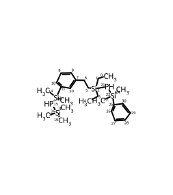 CC[Si](CC)(CCc1cccc([Si](C)(C)P[Si](C)(C)C)c1)P[Si](C)(C)c1ccccc1